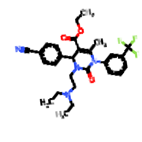 CCOC(=O)C1=C(C)N(c2cccc(C(F)(F)F)c2)C(=O)N(CCN(CC)CC)C1c1ccc(C#N)cc1